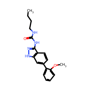 CCCCNC(=O)Nc1n[nH]c2cc(-c3ccccc3OC)ccc12